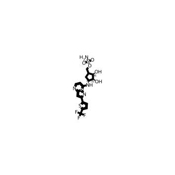 NS(=O)(=O)OCC1C[C@@H](Nc2ccnc3cc(-c4ccc(C(F)(F)F)s4)nn23)[C@H](O)[C@@H]1O